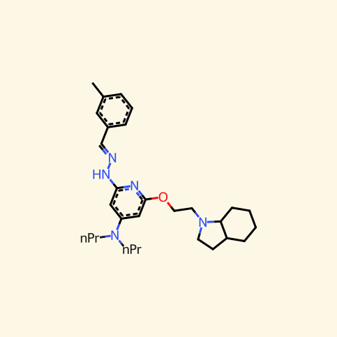 CCCN(CCC)c1cc(N/N=C/c2cccc(C)c2)nc(OCCN2CCC3CCCCC32)c1